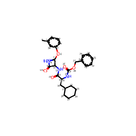 Cc1cccc(OC2NC(=O)C2NC(=O)[C@H](CC2CCCCC2)NC(=O)OCc2ccccc2)c1